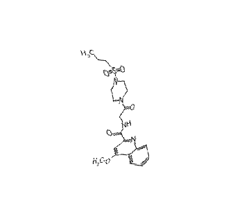 CCCS(=O)(=O)N1CCN(C(=O)CNC(=O)c2cc(OC)c3ccccc3n2)CC1